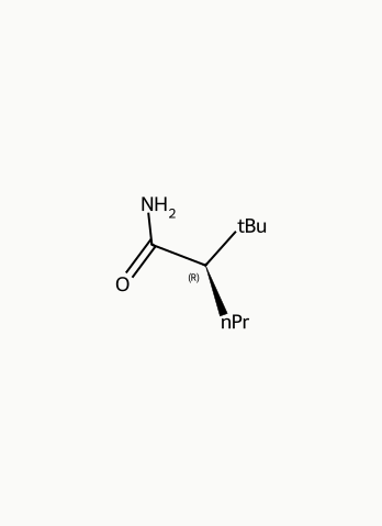 CCC[C@@H](C(N)=O)C(C)(C)C